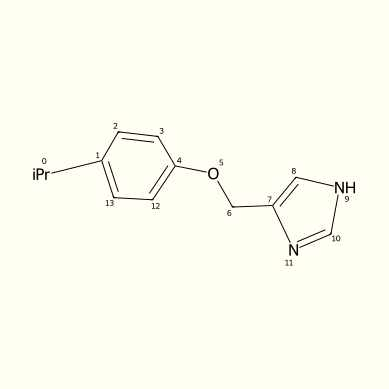 CC(C)c1ccc(OCc2c[nH]cn2)cc1